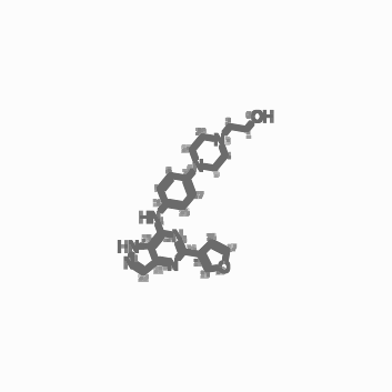 OCCN1CCN(c2ccc(Nc3nc(-c4ccoc4)nc4cn[nH]c34)cc2)CC1